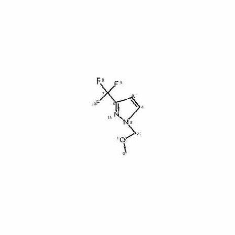 COCn1c[c]c(C(F)(F)F)n1